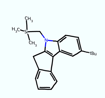 CC(C)(C)c1ccc2c(c1)c1c(n2C[Si](C)(C)C)Cc2ccccc2-1